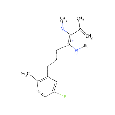 C=N/C(C(=C)C)=C(\CCCc1cc(F)ccc1C)NCC